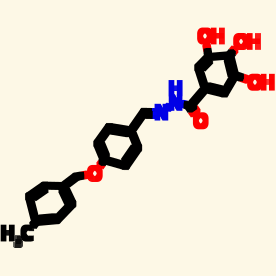 Cc1ccc(COc2ccc(/C=N/NC(=O)c3cc(O)c(O)c(O)c3)cc2)cc1